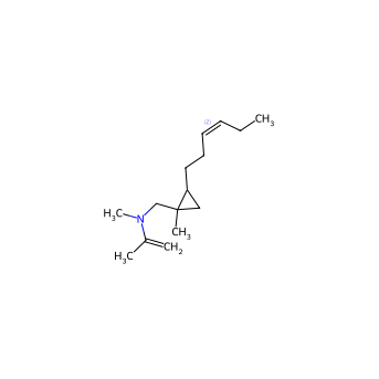 C=C(C)N(C)CC1(C)CC1CC/C=C\CC